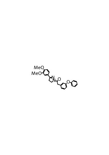 COc1ccc(C2=NN(C(=O)Cc3cccc(Oc4ccccc4)c3)CC2)cc1OC